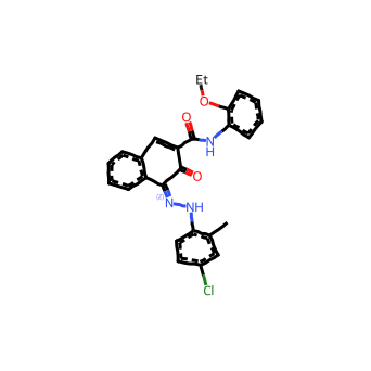 CCOc1ccccc1NC(=O)C1=Cc2ccccc2/C(=N/Nc2ccc(Cl)cc2C)C1=O